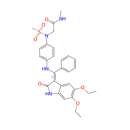 CCOc1cc2c(cc1OCC)/C(=C(/Nc1ccc(N(CC(=O)NC)S(C)(=O)=O)cc1)c1ccccc1)C(=O)N2